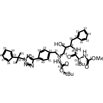 CC[C@H](C)[C@H](NC(=O)OC)C(=O)NC(Cc1ccccc1)C(O)CN(Cc1ccc(-c2nnn(C(C)(C)c3ccccc3)n2)cc1)NC(=O)OC(C)(C)C